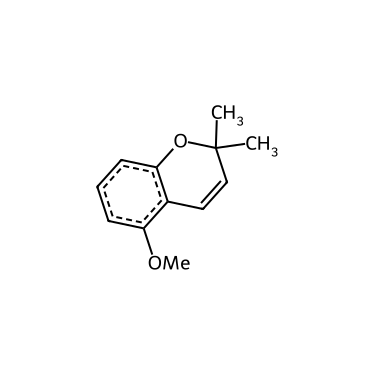 COc1cccc2c1C=CC(C)(C)O2